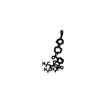 CC(C)COc1c(C(=O)N2CCN(c3ccc(C#N)cc3)CC2)cccc1S(C)(=O)=O